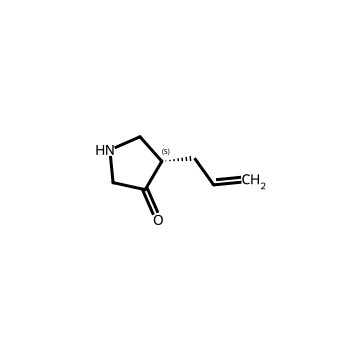 C=CC[C@H]1CNCC1=O